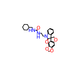 O=C(NCCN1C(=O)C2(COc3cc4c(cc32)OCO4)c2ccccc21)NCC1CCCCC1